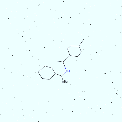 CCCCC(NC(C)C1CCC(C)CC1)C1CCCCC1